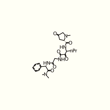 CCCC(NC(=O)[C@@H]1CC(=O)CN1C)C(=O)C(=O)NCC(=O)N[C@H](C(=O)N(C)C)c1ccccc1